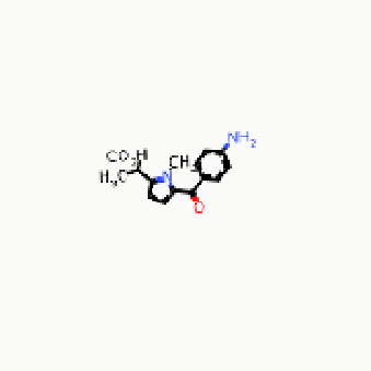 CC(C(=O)O)c1ccc(C(=O)c2ccc(N)cc2)n1C